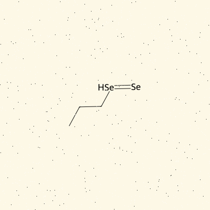 CCC[SeH]=[Se]